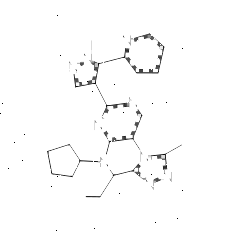 CCC1c2nnc(C)n2-c2cnc(-c3cn[nH]c3-c3ccccn3)nc2N1C1CCCC1